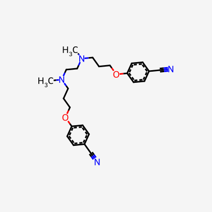 CN(CCCOc1ccc(C#N)cc1)CCN(C)CCCOc1ccc(C#N)cc1